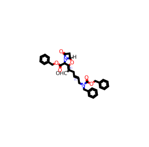 O=C/C(C/C=C/CN(Cc1ccccc1)C(=O)OCc1ccccc1)=C1/O[C@@H]2CC(=O)N2C1C(=O)OCc1ccccc1